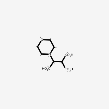 O=C(O)C(C(C(=O)O)S(=O)(=O)O)N1CCOCC1